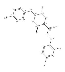 Cc1cc(I)ccc1OCC(=O)N1C[C@@H](C)N(Cc2ccc(F)cc2)C[C@@H]1C